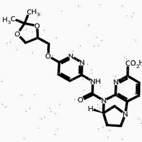 CC1(C)OCC(COc2ccc(NC(=O)N3c4nc(C(=O)O)ccc4N4CC[C@H]3C4)nn2)O1